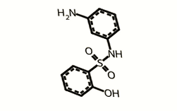 Nc1cccc(NS(=O)(=O)c2ccccc2O)c1